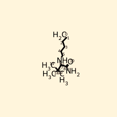 C=CCCCCN[C@H](C(N)=O)C(C)(C)C